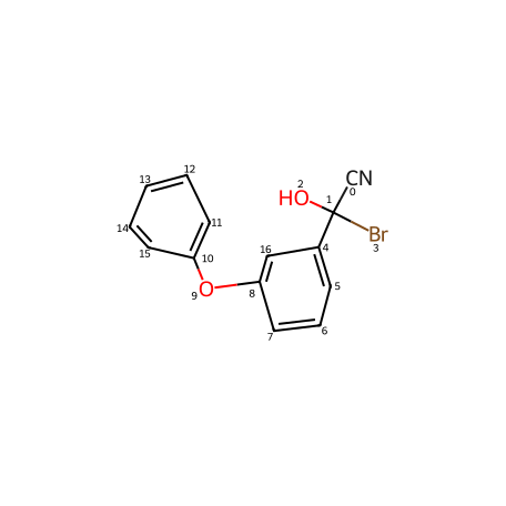 N#CC(O)(Br)c1cccc(Oc2ccccc2)c1